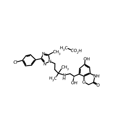 CC(=O)O.Cc1nc(-c2ccc(Cl)cc2)nn1CCC(C)(C)NC[C@H](O)c1cc(O)cc2c1OCC(=O)N2